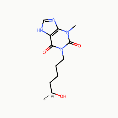 C[C@@H](O)CCCCn1c(=O)c2[nH]cnc2n(C)c1=O